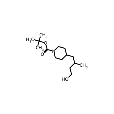 CC(CCO)CC1CCN(C(=O)OC(C)(C)C)CC1